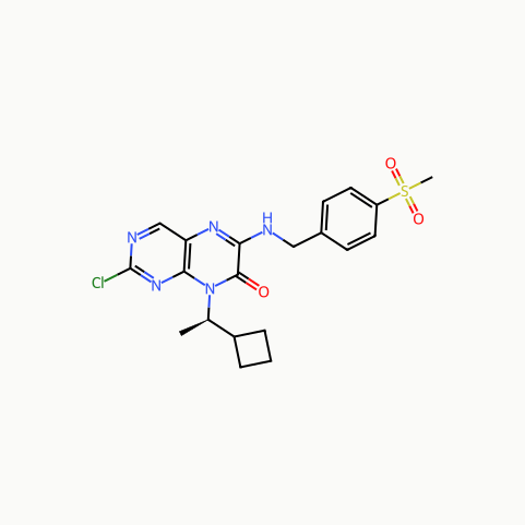 C[C@H](C1CCC1)n1c(=O)c(NCc2ccc(S(C)(=O)=O)cc2)nc2cnc(Cl)nc21